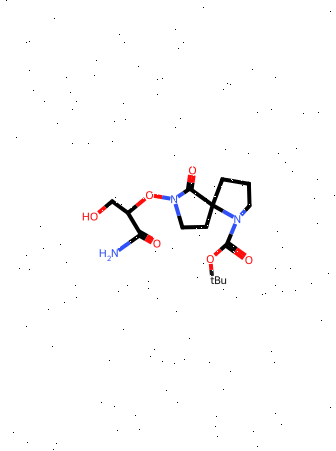 CC(C)(C)OC(=O)N1CCCC12CCN(OC(CO)C(N)=O)C2=O